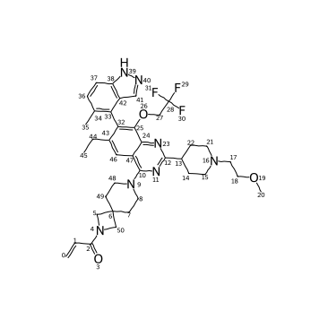 C=CC(=O)N1CC2(CCN(c3nc(C4CCN(CCOC)CC4)nc4c(OCC(F)(F)F)c(-c5c(C)ccc6[nH]ncc56)c(CC)cc34)CC2)C1